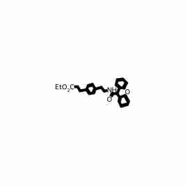 CCOC(=O)CCc1ccc(CCNC(=O)C2c3ccccc3Oc3ccccc32)cc1